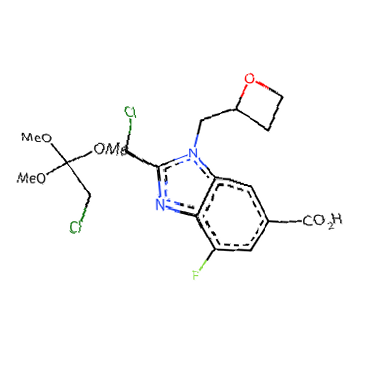 COC(CCl)(OC)OC.O=C(O)c1cc(F)c2nc(CCl)n(CC3CCO3)c2c1